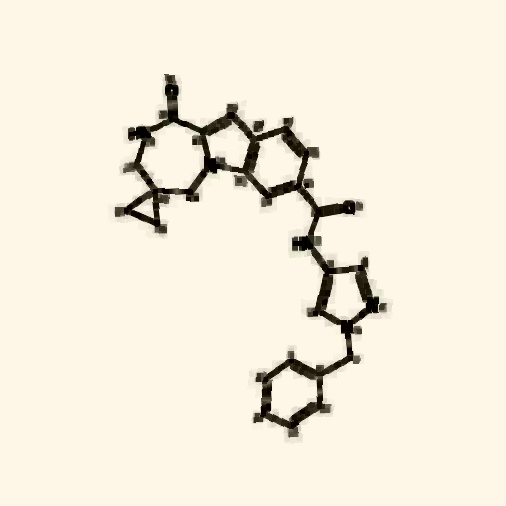 O=C(Nc1cnn(Cc2ccccc2)c1)c1ccc2cc3n(c2c1)CC1(CC1)CNC3=O